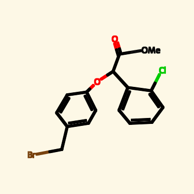 COC(=O)C(Oc1ccc(CBr)cc1)c1ccccc1Cl